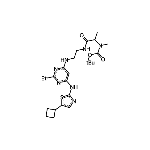 CCc1nc(NCCNC(=O)C(C)N(C)C(=O)OC(C)(C)C)cc(Nc2ncc(C3CCC3)s2)n1